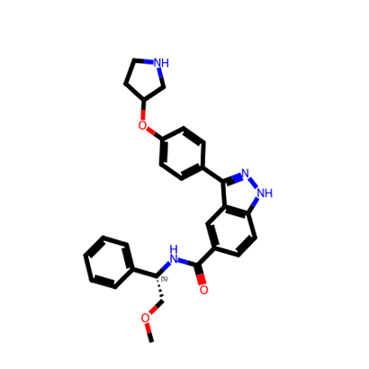 COC[C@@H](NC(=O)c1ccc2[nH]nc(-c3ccc(OC4CCNC4)cc3)c2c1)c1ccccc1